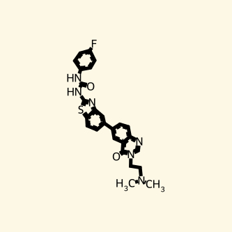 CN(C)CCn1cnc2ccc(-c3ccc4sc(NC(=O)Nc5ccc(F)cc5)nc4c3)cc2c1=O